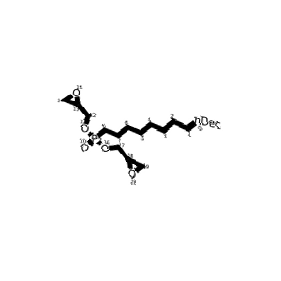 CCCCCCCCCCCCCCCCCCP(=O)(OCC1CO1)OCC1CO1